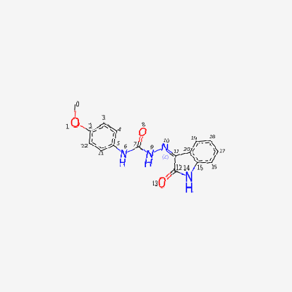 COc1ccc(NC(=O)N/N=C2\C(=O)Nc3ccccc32)cc1